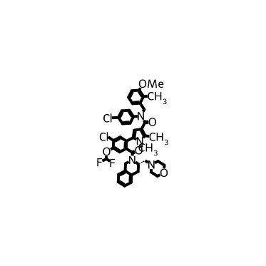 COc1cccc(CN(C(=O)c2cc(-c3cc(Cl)c(OC(F)F)cc3C(=O)N3Cc4ccccc4C[C@H]3CN3CCOCC3)n(C)c2C)c2ccc(Cl)cc2)c1C